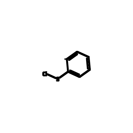 ClSc1[c]cccc1